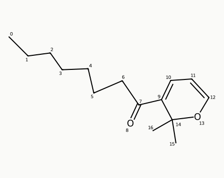 CCCCCCCC(=O)C1=CC=COC1(C)C